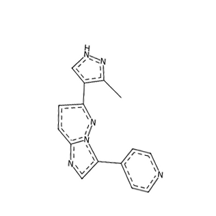 Cc1n[nH]cc1-c1ccc2ncc(-c3ccncc3)n2n1